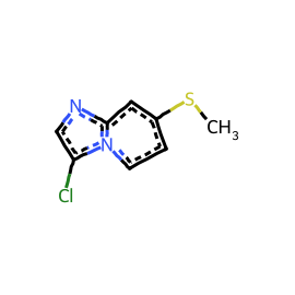 CSc1ccn2c(Cl)cnc2c1